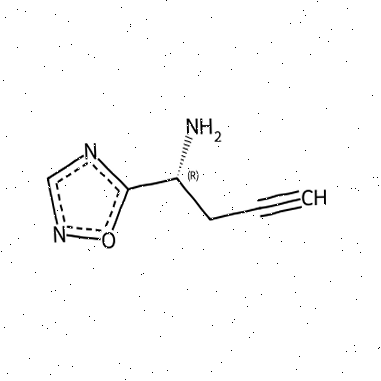 C#CC[C@@H](N)c1ncno1